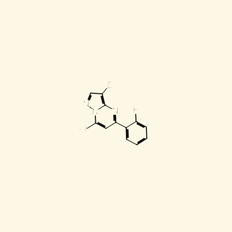 CCc1cnn2c(Cl)cc(-c3ccccc3F)nc12